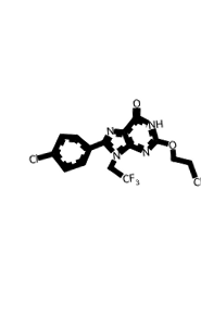 O=c1[nH]c(OCCC(F)(F)F)nc2c1nc(-c1ccc(Cl)cc1)n2CC(F)(F)F